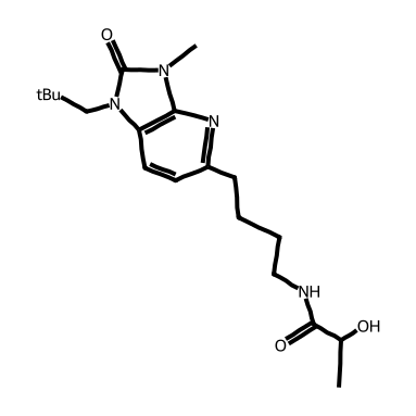 CC(O)C(=O)NCCCCc1ccc2c(n1)n(C)c(=O)n2CC(C)(C)C